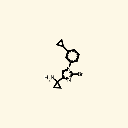 NC1(c2cn(-c3cccc(C4CC4)c3)c(Br)n2)CC1